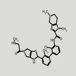 CNCC(=O)N1CC2=C(C1)SC(c1cccc(-c3cccc(NC(=O)c4nc5c(n4C)CCN(C)C5)c3Cl)c1C)N2